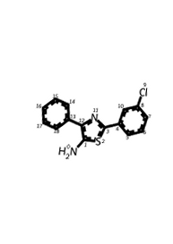 Nc1sc(-c2cccc(Cl)c2)nc1-c1ccccc1